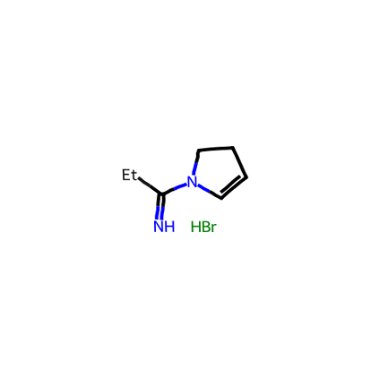 Br.CCC(=N)N1C=CCC1